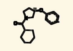 O=C(C1CCCCC1)N1CC[C@@H](Oc2cc[c]cc2)C1